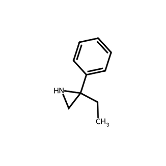 CCC1(c2ccccc2)CN1